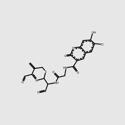 C=C1CSC(C(C=O)NC(=O)CNC(=O)c2cc3cc(Cl)c(O)cc3oc2=O)N=C1C=O